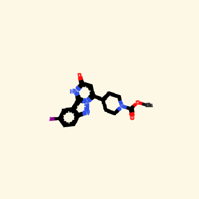 CC(C)(C)OC(=O)N1CCC(c2cc(=O)[nH]c3c4cc(I)ccc4nn23)CC1